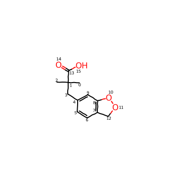 CC(C)(Cc1ccc2c(c1)OOC2)C(=O)O